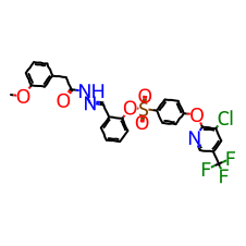 COc1cccc(CC(=O)NN=Cc2ccccc2OS(=O)(=O)c2ccc(Oc3ncc(C(F)(F)F)cc3Cl)cc2)c1